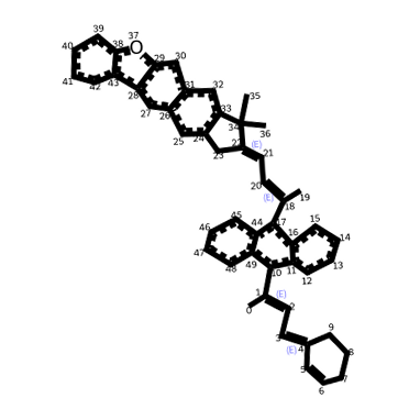 C/C(=C\C=C1\C=CCCC1)c1c2ccccc2c(/C(C)=C/C=C2\Cc3cc4cc5c(cc4cc3C2(C)C)oc2ccccc25)c2ccccc12